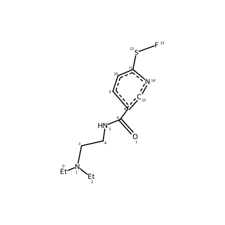 CCN(CC)CCNC(=O)c1ccc(SF)nc1